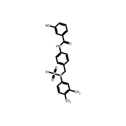 CCS(=O)(=O)N(Cc1ccc(NC(=O)c2cccc(C#N)c2)cc1)c1ccc(C)c(C)c1